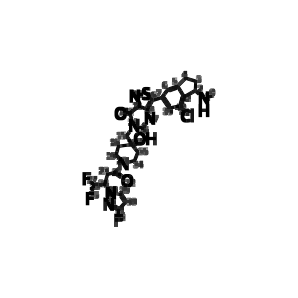 CNC1CCc2cc(-c3snc4c(=O)n(CC5(O)CCN(C(=O)CC(C(F)F)n6ccc(F)n6)CC5)cnc34)cc(Cl)c21